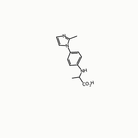 Cc1nccn1-c1ccc(NC(C)C(=O)O)cc1